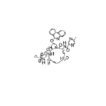 Cc1cnc(C(=O)N[C@H]2CCCCC/C=C\[C@@H]3C[C@@]3(C(=O)NS(=O)(=O)C3CC3)NC(=O)[C@@H]3C[C@@H](Oc4nc5ccccc5c5ccccc45)CN3C2=O)cn1.O